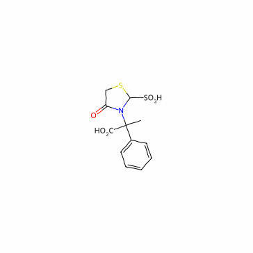 CC(C(=O)O)(c1ccccc1)N1C(=O)CSC1S(=O)(=O)O